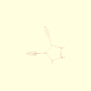 N#CC1NNNC1C#N